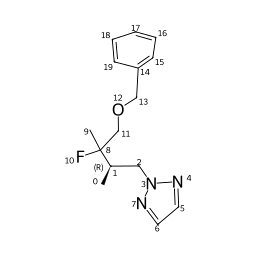 C[C@H](Cn1nccn1)C(C)(F)COCc1ccccc1